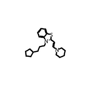 C(=C\N1CCCCC1)/c1sc2ccccc2[n+]1CCCC1CCCC1